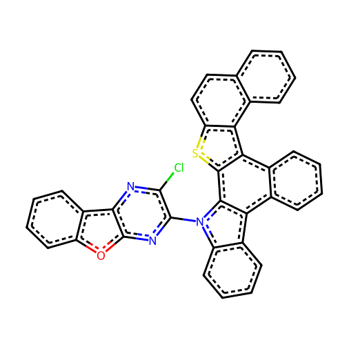 Clc1nc2c(nc1-n1c3ccccc3c3c4ccccc4c4c(sc5ccc6ccccc6c54)c31)oc1ccccc12